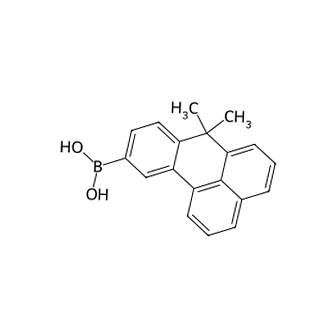 CC1(C)c2ccc(B(O)O)cc2-c2cccc3cccc1c23